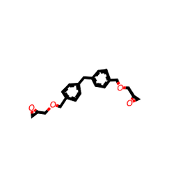 c1cc(Cc2ccc(COCC3CO3)cc2)ccc1COCC1CO1